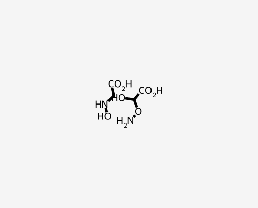 NOC(O)C(=O)O.O=C(O)CNO